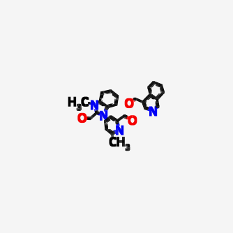 Cc1cccc(C=O)n1.Cn1c(C=O)nc2ccccc21.O=Cc1cncc2ccccc12